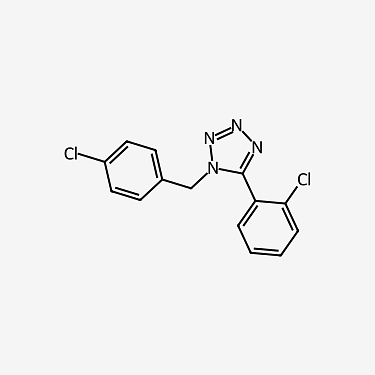 Clc1ccc(Cn2nnnc2-c2ccccc2Cl)cc1